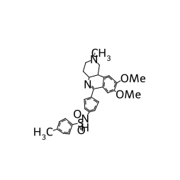 COc1cc2c(cc1OC)C1CN(C)CCC1N=C2c1ccc(NS(=O)(=O)c2ccc(C)cc2)cc1